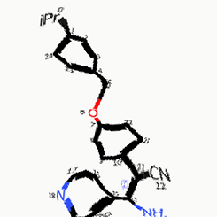 CC(C)c1ccc(COc2ccc(/C(C#N)=C(/N)c3ccncc3)cc2)cc1